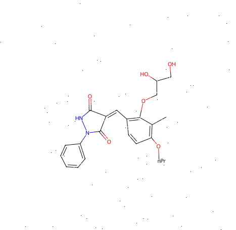 CCCOc1ccc(C=C2C(=O)NN(c3ccccc3)C2=O)c(OCC(O)CO)c1C